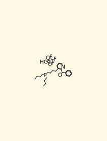 CCCCP(CCCC)CCCCc1cccnc1C(=O)c1ccccc1.O=S(=O)(O)C(F)(F)F